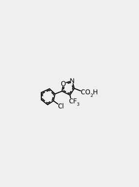 O=C(O)c1noc(-c2ccccc2Cl)c1C(F)(F)F